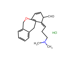 CN(C)CC/C=C1\C2=C(C=CC1C=O)OCc1ccccc1C2.Cl